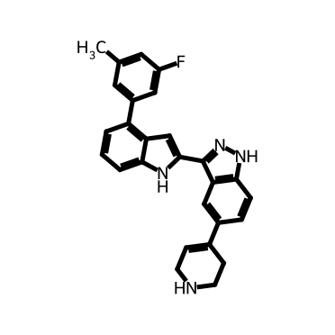 Cc1cc(F)cc(-c2cccc3[nH]c(-c4n[nH]c5ccc(C6=CCNCC6)cc45)cc23)c1